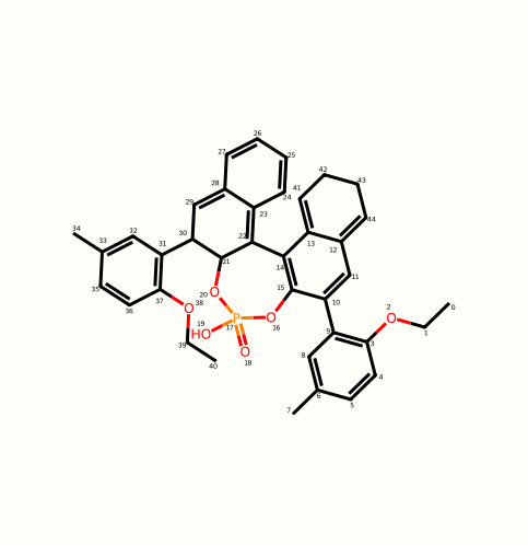 CCOc1ccc(C)cc1-c1cc2c(c3c1OP(=O)(O)OC1C3=c3ccccc3=CC1c1cc(C)ccc1OCC)=CCCC=2